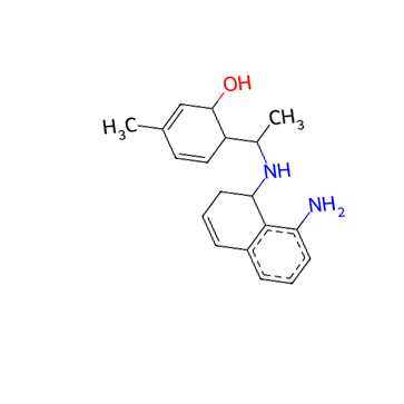 CC1=CC(O)C(C(C)NC2CC=Cc3cccc(N)c32)C=C1